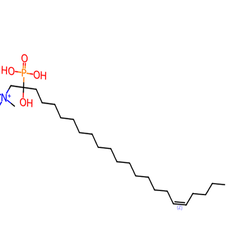 CCCC/C=C\CCCCCCCCCCCCCCCC(O)(C[N+](C)(C)C)P(=O)(O)O